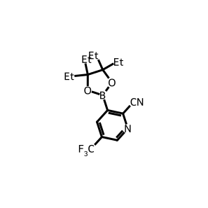 CCC1(CC)OB(c2cc(C(F)(F)F)cnc2C#N)OC1(CC)CC